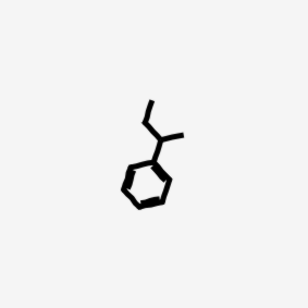 C[CH]C(C)c1ccccc1